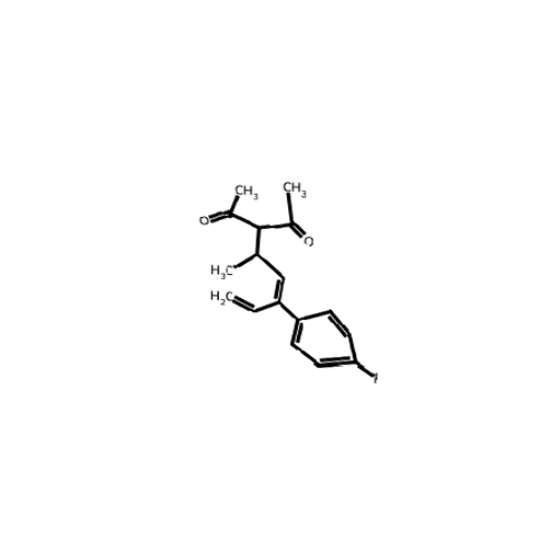 C=C/C(=C\C(C)C(C(C)=O)C(C)=O)c1ccc(I)cc1